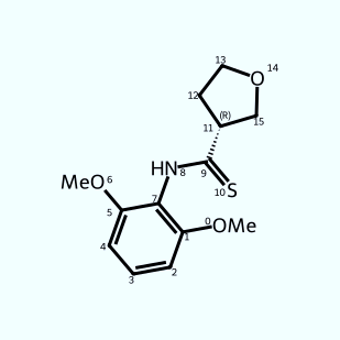 COc1cccc(OC)c1NC(=S)[C@@H]1CCOC1